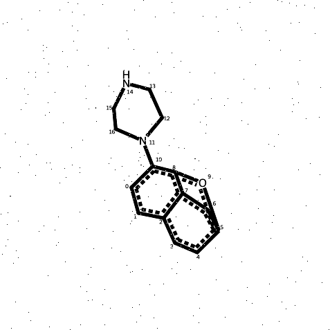 c1cc2ccc3cc2c(o3)c1N1CCNCC1